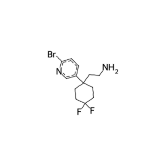 NCCC1(c2ccc(Br)nc2)CCC(F)(F)CC1